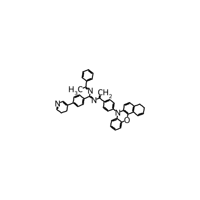 C=C(/N=C(\N=C(/C)c1ccccc1)c1ccc(C2=CN=CCC2)cc1)c1ccc(N2c3ccccc3Oc3c2ccc2c3C=CCC2)cc1